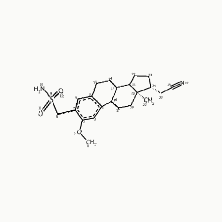 COc1cc2c(cc1CS(N)(=O)=O)CCC1C2CC[C@@]2(C)C1CC[C@@H]2CC#N